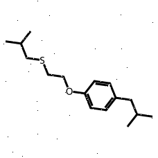 CC(C)CSCCOc1ccc(CC(C)C)cc1